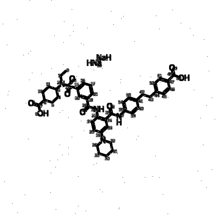 CCN(C1CCC(C(=O)O)CC1)S(=O)(=O)c1cccc(C(=O)Nc2ccc(N3CCCCC3)cc2C(=O)Nc2ccc(CCc3ccc(C(=O)O)cc3)cc2)c1.[NaH].[NaH]